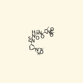 Cc1cc(C(=O)N2CC[C@H]2C(=O)Nc2nc(-c3cccc(N4C[C@@H](C)O[C@@H](C)C4)c3)cs2)cn1S(C)(=O)=O